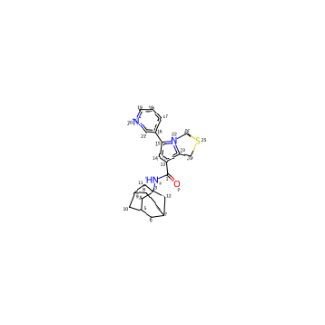 O=C(NC12CC3CC(CC(C3)C1)C2)c1cc(-c2cccnc2)n2c1CSC2